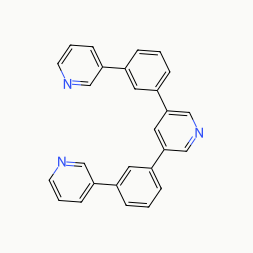 c1cncc(-c2cccc(-c3cncc(-c4cccc(-c5cccnc5)c4)c3)c2)c1